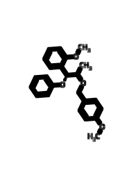 COc1ccc(COC(C)[C@H](Oc2ccccc2)c2ccccc2OC)cc1